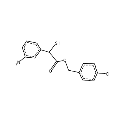 Nc1cccc(C(S)C(=O)OCc2ccc(Cl)cc2)c1